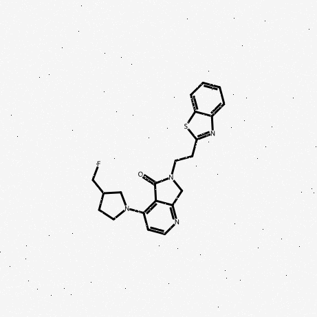 O=C1c2c(N3CCC(CF)C3)ccnc2CN1CCc1nc2ccccc2s1